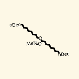 CCCCCCCCCCCCCCCCCCOC(=O)CCCCCCCCCCCCCCCCC.CNC